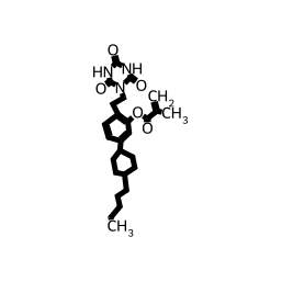 C=C(C)C(=O)Oc1cc(C2CCC(CCCCC)CC2)ccc1CCn1c(=O)[nH]c(=O)[nH]c1=O